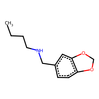 CCCCNCc1ccc2c(c1)OCO2